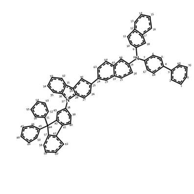 c1ccc(-c2ccc(N(c3ccc4ccccc4c3)c3ccc4cc(-c5ccc6c(c5)c5ccccc5n6-c5ccc6c(c5)C(c5ccccc5)(c5ccccc5)c5ccccc5-6)ccc4c3)cc2)cc1